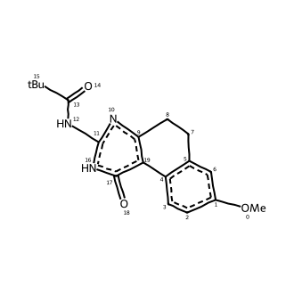 COc1ccc2c(c1)CCc1nc(NC(=O)C(C)(C)C)[nH]c(=O)c1-2